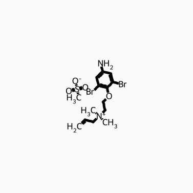 C=CC[N+](C)(C)CCOc1c(Br)cc(N)cc1Br.CS(=O)(=O)[O-]